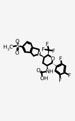 CS(=O)(=O)c1ccc2c(c1)CN([C@@H]1C[C@H](NC(=O)O)[C@@H](c3cc(F)c(F)cc3F)O[C@@H]1C(F)(F)F)C2